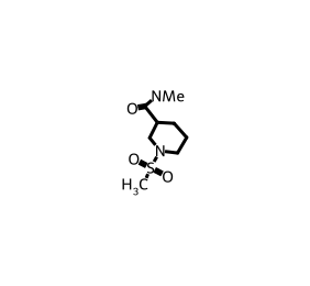 CNC(=O)C1CCCN(S(C)(=O)=O)C1